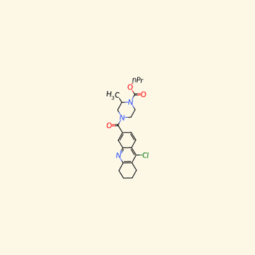 CCCOC(=O)N1CCN(C(=O)c2ccc3c(Cl)c4c(nc3c2)CCCC4)CC1C